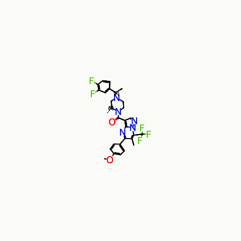 COc1ccc(-c2nc3c(C(=O)N4CCN([C@H](C)c5ccc(F)c(F)c5)C[C@H]4C)cnn3c(C(F)(F)F)c2C)cc1